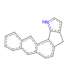 c1ccc2cc3c4c(ccc3cc2c1)Cc1cc[nH]c1-4